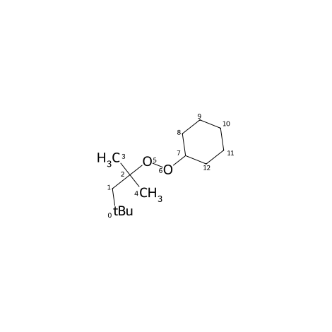 CC(C)(C)CC(C)(C)OOC1CCCCC1